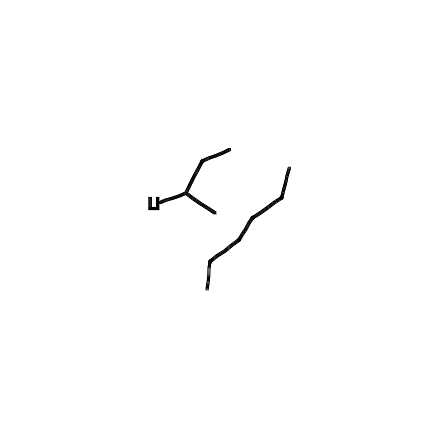 CCCCCC.[Li][CH](C)CC